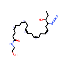 CCC(O)C(C/C=C\C/C=C\C/C=C\C/C=C\C/C=C\CCC(=O)NCCO)N=[N+]=[N-]